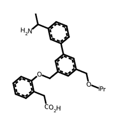 CC(C)OCc1cc(COc2ccccc2CC(=O)O)cc(-c2cccc(C(C)N)c2)c1